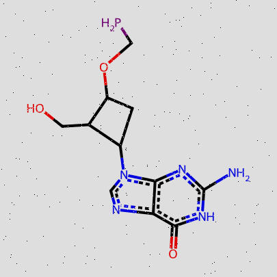 Nc1nc2c(ncn2C2CC(OCP)C2CO)c(=O)[nH]1